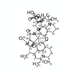 CCC1=CC(C)(C)N2CCCc3c4c(cc1c32)C1(c2cc3c5c(c2O4)CCCN5C(C)(C)C=C3CS(=O)(=O)O)c2c(Cl)ccc(Cl)c2C(=O)N1OCC(=O)O